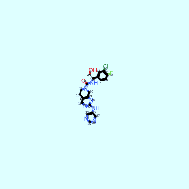 O=C(N[C@H](CO)c1ccc(F)c(Cl)c1)N1CCc2cnc(Nc3cncnc3)nc2C1